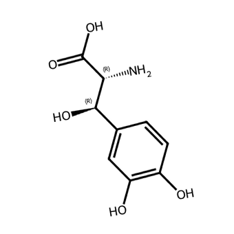 N[C@@H](C(=O)O)[C@H](O)c1ccc(O)c(O)c1